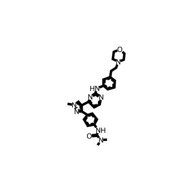 CN(C)C(=O)Nc1ccc(-c2nn(C)cc2-c2ccnc(Nc3cccc(CCN4CCOCC4)c3)n2)cc1